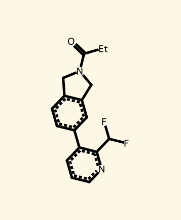 CCC(=O)N1Cc2ccc(-c3cccnc3C(F)F)cc2C1